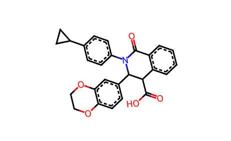 O=C(O)C1c2ccccc2C(=O)N(c2ccc(C3CC3)cc2)C1c1ccc2c(c1)OCCO2